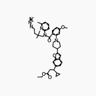 CCOC(=O)CC(c1ccc2cc(C3CCN(c4cc(OC)ccc4C(=O)N(CC(C)(C)CCN=[N+]=[N-])c4cccc(C)n4)CC3)oc2c1)C1CC1